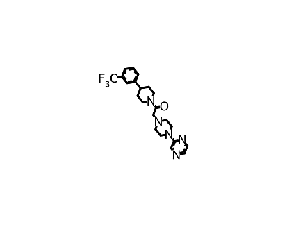 O=C(CN1CCN(c2cnccn2)CC1)N1CCC(c2cccc(C(F)(F)F)c2)CC1